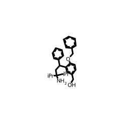 CC(C)C(N)(CC(c1ccccc1)c1cc(CO)ccc1OCc1ccccc1)C(C)C